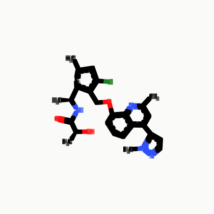 Cc1cc(Cl)c(COc2cccc3c(-c4ccnn4C)cc(C)nc23)c([C@H](C)NC(=O)[C@H](C)O)c1